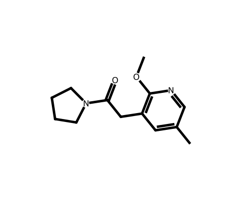 COc1ncc(C)cc1CC(=O)N1CCCC1